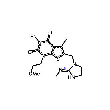 C/N=C1\NCCN1Cc1sc2c(c1C)c(=O)n(C(C)C)c(=O)n2CCOC